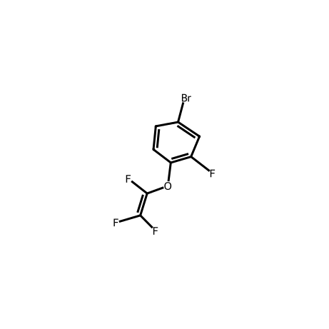 FC(F)=C(F)Oc1ccc(Br)cc1F